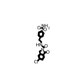 NS(=O)(=O)c1ccc(CCNC(=O)N2Cc3cc(Cl)ccc3C2=O)cc1